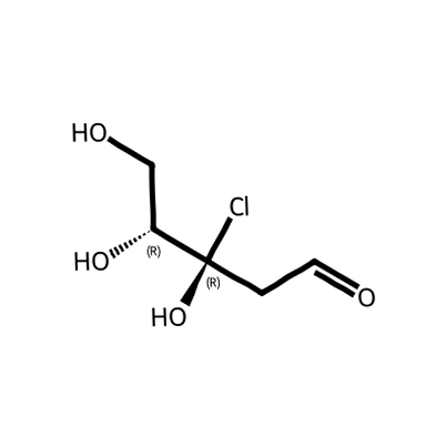 O=CC[C@@](O)(Cl)[C@H](O)CO